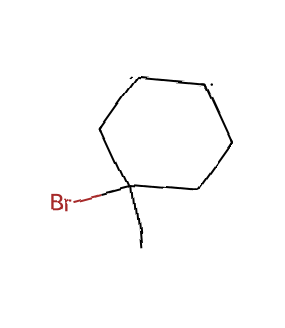 CC1(Br)C[CH][CH]CC1